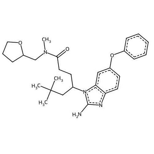 CN(CC1CCCO1)C(=O)CCC(CC(C)(C)C)n1c(N)nc2ccc(Oc3ccccc3)cc21